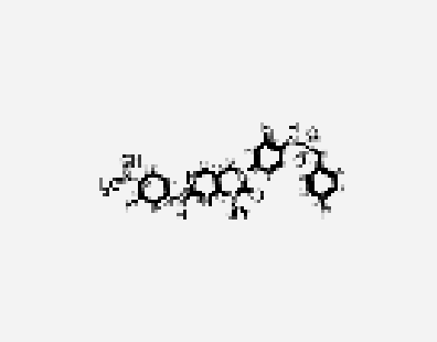 CC(C)N1C(=O)N(c2ccc(NS(=O)(=O)Cc3ccc(F)cc3)c(F)c2)Cc2cnc(N[C@@H]3CC[C@@H](N(C)C)[C@H](F)C3)nc21